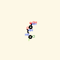 O=CC(CCNc1cc(F)cc(Cl)c1)Nc1ccc(C(=O)NO)cc1